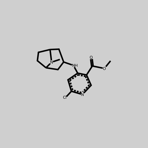 COC(=O)c1cnc(Cl)cc1NC1CC2CCC(C1)N2C